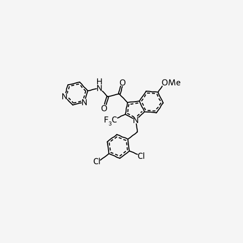 COc1ccc2c(c1)c(C(=O)C(=O)Nc1ccncn1)c(C(F)(F)F)n2Cc1ccc(Cl)cc1Cl